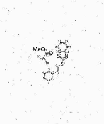 C(=Cc1ccccc1)Sc1nc2ccccc2s1.C=C(C)C(=O)OC